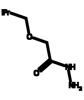 CC(C)COCC(=O)NN